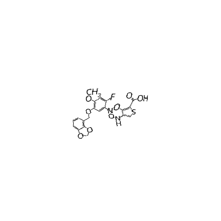 COc1cc(F)c(-n2o[nH]c3csc(C(=O)O)c3o2)cc1OCc1cccc2c1OCO2